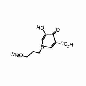 COCCCn1cc(O)c(=O)c(C(=O)O)c1